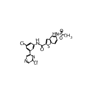 CS(=O)(=O)Nc1ccc2sc(C(=O)Nc3cc(Cl)cc(-c4cncc(Cl)n4)c3)cc2c1